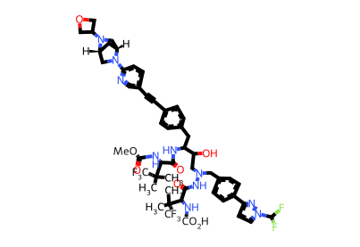 COC(=O)NC(C(=O)NC(Cc1ccc(C#Cc2ccc(N3C[C@H]4C[C@@H]3CN4C3COC3)nc2)cc1)C(O)CN(Cc1ccc(-c2ccn(C(F)F)n2)cc1)NC(=O)C(NC(=O)O)C(C)(C)C(F)(F)F)C(C)(C)C(F)(F)F